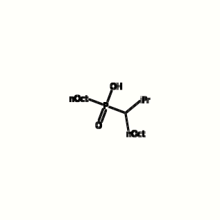 CCCCCCCCC(C(C)C)P(=O)(O)CCCCCCCC